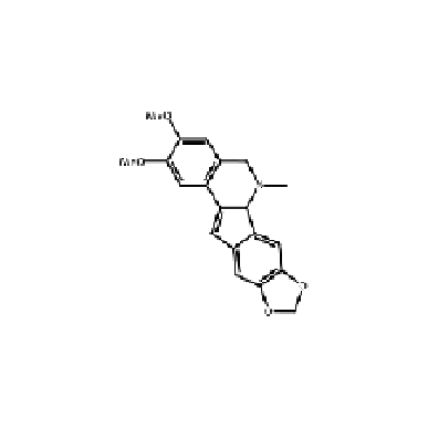 COc1cc2c(cc1OC)C1=Cc3cc4c(cc3C1N(C)C2)OCO4